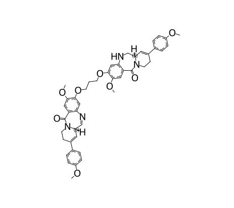 COc1ccc(C2=C[C@H]3C=Nc4cc(OCCCOc5cc6c(cc5OC)C(=O)N5CCC(c7ccc(OC)cc7)=C[C@H]5CN6)c(OC)cc4C(=O)N3CC2)cc1